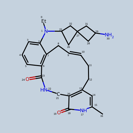 CCN(c1cccc2c1C/C=C/CCc1cc(C)[nH]c(=O)c1CNC2=O)C1CC2(CC(N)C2)C1